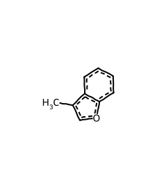 Cc1coc2ccccc12